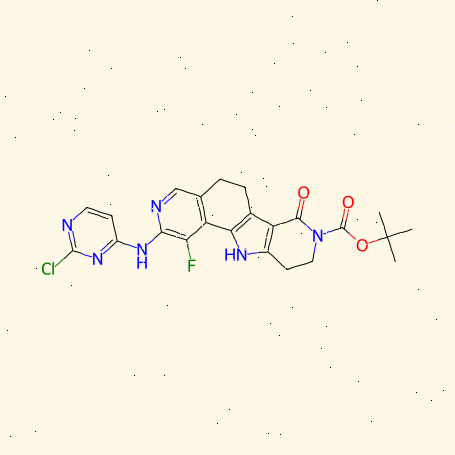 CC(C)(C)OC(=O)N1CCc2[nH]c3c(c2C1=O)CCc1cnc(Nc2ccnc(Cl)n2)c(F)c1-3